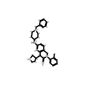 Cc1ccccc1N1Cc2ccc(NC3CCN(Cc4ccccc4)CC3)nc2C(C2CCOC2)C1=O